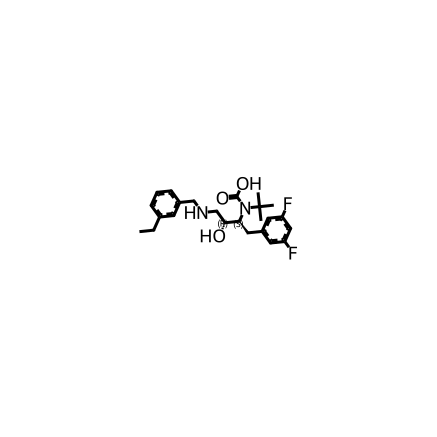 CCc1cccc(CNC[C@@H](O)[C@H](Cc2cc(F)cc(F)c2)N(C(=O)O)C(C)(C)C)c1